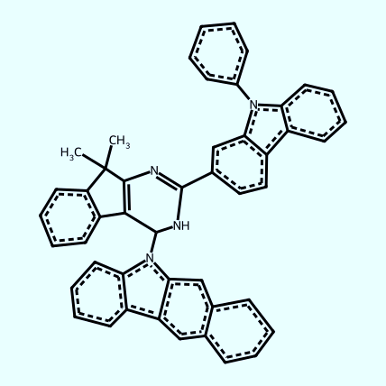 CC1(C)C2=C(c3ccccc31)C(n1c3ccccc3c3cc4ccccc4cc31)NC(c1ccc3c4ccccc4n(-c4ccccc4)c3c1)=N2